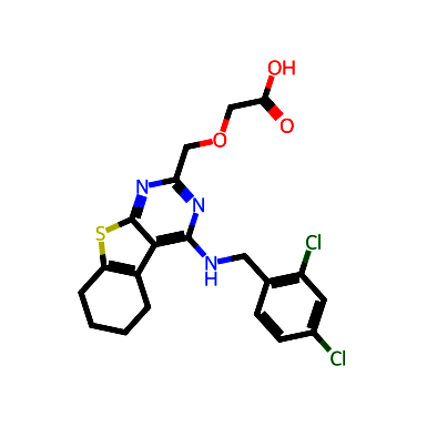 O=C(O)COCc1nc(NCc2ccc(Cl)cc2Cl)c2c3c(sc2n1)CCCC3